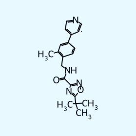 Cc1cc(-c2[c]cncc2)ccc1CNC(=O)c1noc(C(C)(C)C)n1